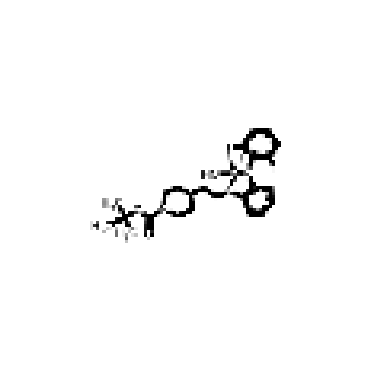 CC(C)(C)OC(=O)N1CCC(CCN2c3ccccc3N(c3c(F)cccc3F)S2(O)O)CC1